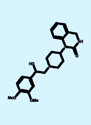 COc1ccc(C(O)CN2CCC(N3C(=O)NCc4ccccc43)CC2)cc1OC